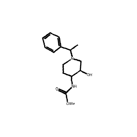 COC(=O)NC1CCN(C(C)c2ccccc2)CC1O